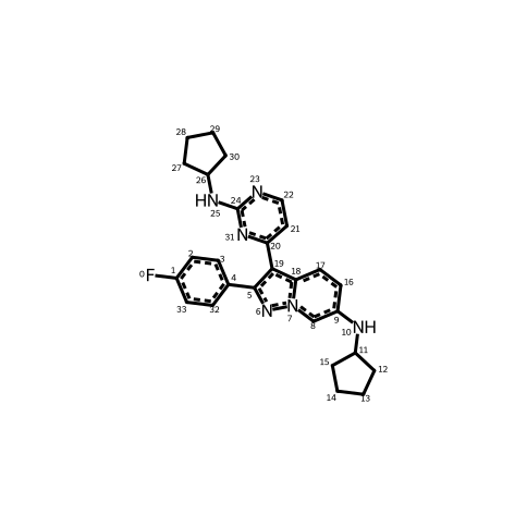 Fc1ccc(-c2nn3cc(NC4CCCC4)ccc3c2-c2ccnc(NC3CCCC3)n2)cc1